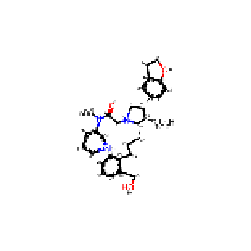 CCCCN(C(=O)CN1C[C@H](c2ccc3c(c2)CCO3)[C@@H](C(=O)O)[C@@H]1CCCc1ccccc1CO)c1cccnc1